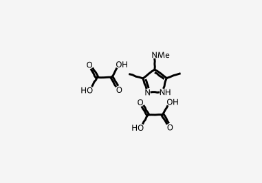 CNc1c(C)n[nH]c1C.O=C(O)C(=O)O.O=C(O)C(=O)O